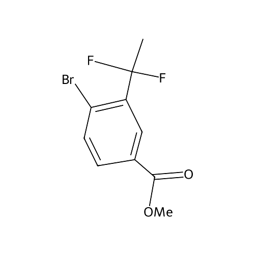 COC(=O)c1ccc(Br)c(C(C)(F)F)c1